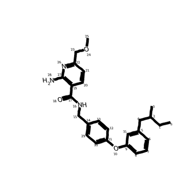 CCC(C)Cc1cccc(Oc2ccc(CNC(=O)c3ccc(COC)nc3N)cc2)c1